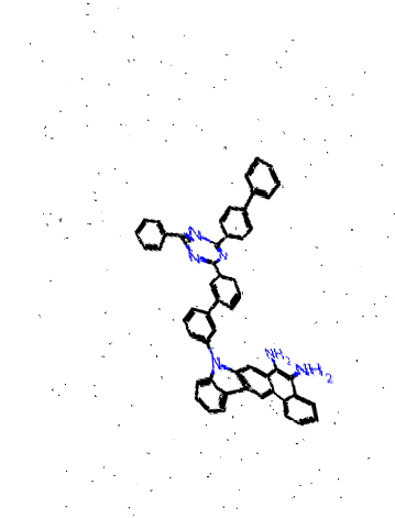 Nc1c(N)c2cc3c(cc2c2ccccc12)c1ccccc1n3-c1cccc(-c2cccc(-c3nc(-c4ccccc4)nc(-c4ccc(-c5ccccc5)cc4)n3)c2)c1